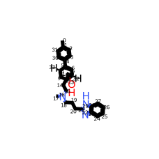 Cc1ccc(C2=C[C@@H]3CC[C@H]2C[C@]3(O)CCN(C)CCCc2nc3ccccc3[nH]2)cc1